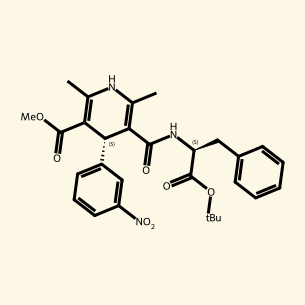 COC(=O)C1=C(C)NC(C)=C(C(=O)N[C@@H](Cc2ccccc2)C(=O)OC(C)(C)C)[C@@H]1c1cccc([N+](=O)[O-])c1